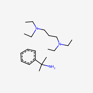 CC(C)(N)c1ccccc1.CCN(CC)CCCN(CC)CC